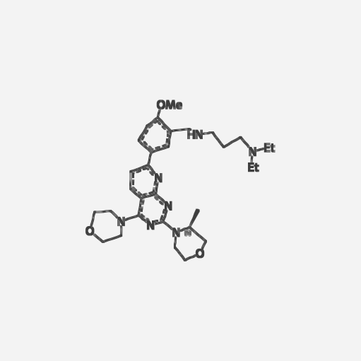 CCN(CC)CCCNCc1cc(-c2ccc3c(N4CCOCC4)nc(N4CCOC[C@@H]4C)nc3n2)ccc1OC